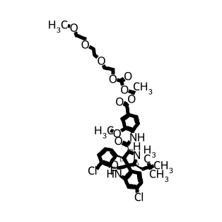 COCCOCCOCCOC(=O)OC(C)OC(=O)c1ccc(NC(=O)[C@@H]2N[C@@H](CC(C)(C)C)C3(C(=O)Nc4cc(Cl)ccc43)[C@H]2c2cccc(Cl)c2F)c(OC)c1